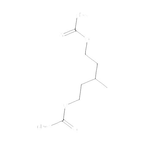 CCCCCCCCCCC(=O)OCCC(C)CCOC(=O)CCCCCCCCCC